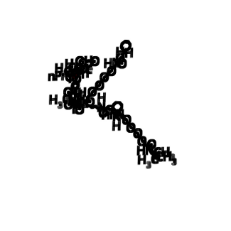 CCCC1O[C@@H]2C[C@H]3[C@@H]4C[C@H](F)C5=CC(=O)C=C[C@]5(C)[C@@]4(F)[C@@H](O)C[C@]3(C)[C@]2(C(=O)COc2ccc(NC(=O)[C@H](C)NC(=O)[C@@H](NC(=O)[C@@H](CCCCCNC(=O)COC3CCCCCC4=C3NNN4CCOCCOCCOCCOCCC(=O)NCC[N+](C)(C)C)NC(=O)CCOCCOCCOCCOCCNC(=O)OC[C@@H]3[C@@H]4CCC#CCC[C@@H]43)C(C)C)cc2)O1